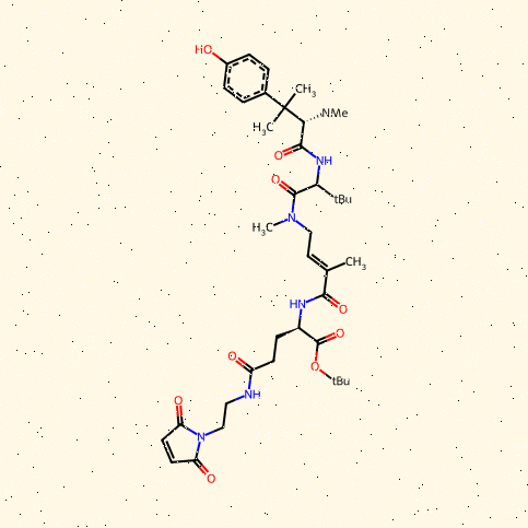 CN[C@H](C(=O)NC(C(=O)N(C)C/C=C(\C)C(=O)N[C@H](CCC(=O)NCCN1C(=O)C=CC1=O)C(=O)OC(C)(C)C)C(C)(C)C)C(C)(C)c1ccc(O)cc1